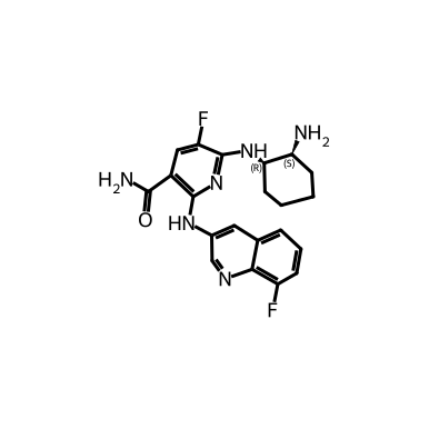 NC(=O)c1cc(F)c(N[C@@H]2CCCC[C@@H]2N)nc1Nc1cnc2c(F)cccc2c1